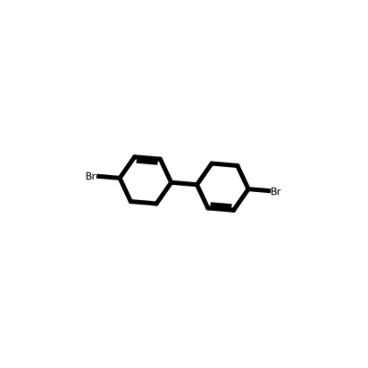 BrC1C=CC(C2C=CC(Br)CC2)CC1